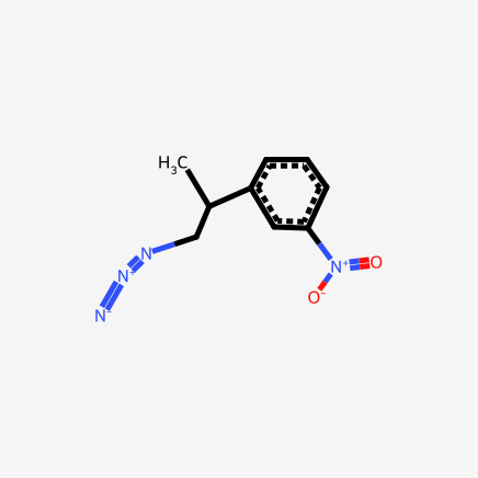 CC(CN=[N+]=[N-])c1cccc([N+](=O)[O-])c1